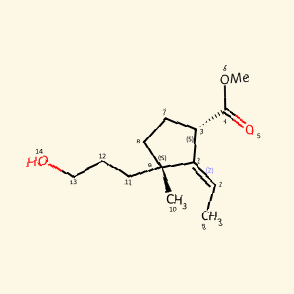 C/C=C1/[C@@H](C(=O)OC)CC[C@@]1(C)CCCO